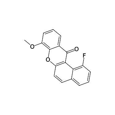 COc1cccc2c(=O)c3c(ccc4cccc(F)c43)oc12